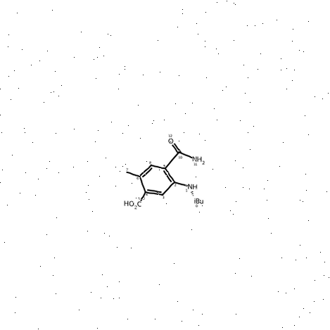 CC[C@@H](C)Nc1cc(C(=O)O)c(C)cc1C(N)=O